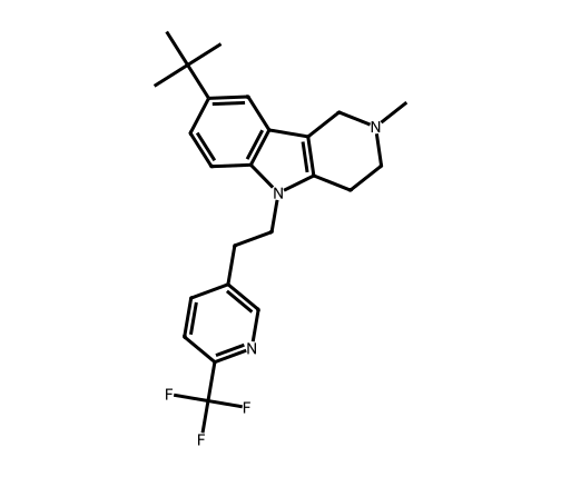 CN1CCc2c(c3cc(C(C)(C)C)ccc3n2CCc2ccc(C(F)(F)F)nc2)C1